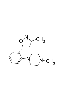 CC1=NO[C@@H](c2ccccc2N2CCN(C)CC2)C1